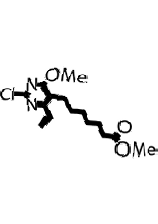 C=Cc1nc(Cl)nc(OC)c1CCCCCCC(=O)OC